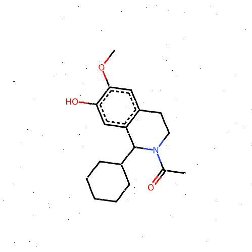 COc1cc2c(cc1O)C(C1CCCCC1)N(C(C)=O)CC2